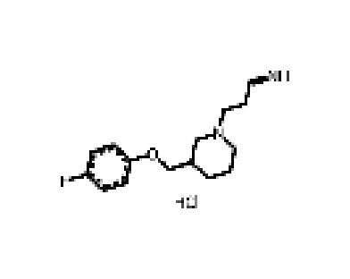 Cl.N=CCCN1CCCC(COc2ccc(F)cc2)C1